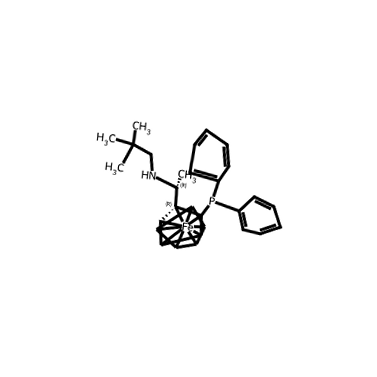 C[C@@H](NCC(C)(C)C)[C@@]12[CH]3[CH]4[CH]5[C]1(P(c1ccccc1)c1ccccc1)[Fe]45321678[CH]2[CH]1[CH]6[CH]7[CH]28